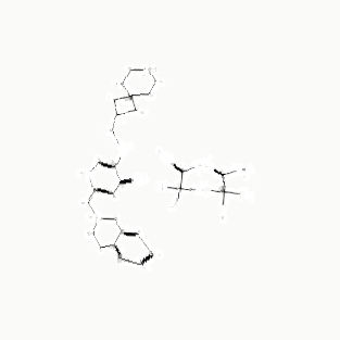 O=C(O)C(F)(F)F.O=C(O)C(F)(F)F.O=c1cc(CN2CCc3ccccc3C2)occ1OCC1CC2(CCNCC2)C1